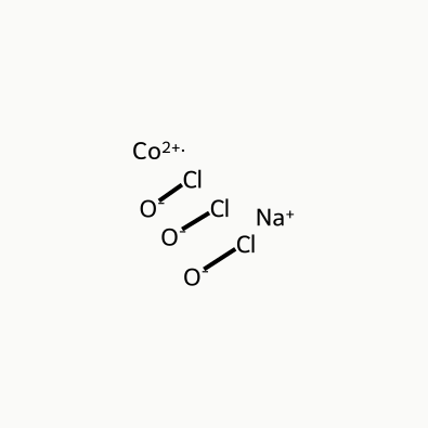 [Co+2].[Na+].[O-]Cl.[O-]Cl.[O-]Cl